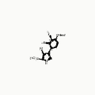 CCCCCCCc1ccc(-c2c[nH]c(C(=O)OCC)c2F)c(F)c1F